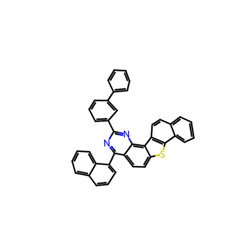 c1ccc(-c2cccc(-c3nc(-c4cccc5ccccc45)c4ccc5sc6c7ccccc7ccc6c5c4n3)c2)cc1